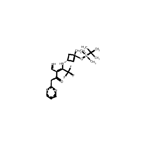 CC(C)(C)[Si](C)(C)O[C@]1(C)C[C@H](N/C(=C(\C=N)C(=O)Cc2ncccn2)C(F)(F)F)C1